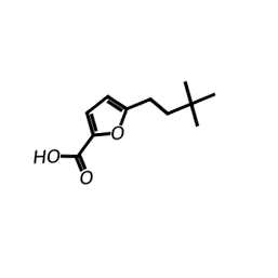 CC(C)(C)CCc1ccc(C(=O)O)o1